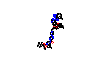 Cc1[nH]nc(Nc2ncnc3cc(OCCCN4CCN(c5cnc(C(=O)N6CCN(C(=O)OC(C)(C)C)C(C)C6)cn5)CC4)c(S(=O)(=O)C(C)(C)C)cc23)c1C